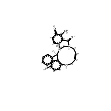 C[C@@]1(c2ccccc2)c2cc(F)ccc2OC/C=C\CN2CN1n1ccc(=O)c(O)c1C2=O